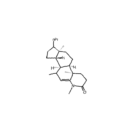 CCCC1CC[C@H]2[C@@H]3C(C)C=C4N(C)C(=O)CC[C@]4(C)[C@@H]3CC[C@]12C